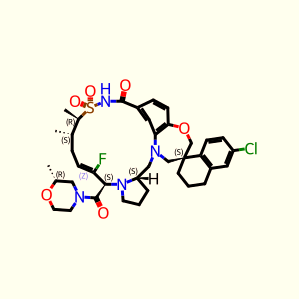 C[C@@H]1CN(C(=O)[C@H]2/C(F)=C/C[C@H](C)[C@@H](C)S(=O)(=O)NC(=O)c3ccc4c(c3)N(C[C@@H]3CCCN32)C[C@@]2(CCCc3cc(Cl)ccc32)CO4)CCO1